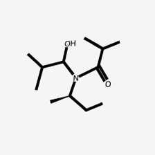 CC[C@@H](C)N(C(=O)C(C)C)C(O)C(C)C